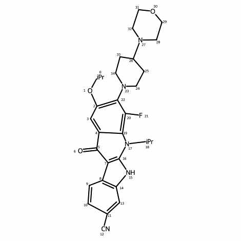 CC(C)Oc1cc2c(=O)c3c4ccc(C#N)cc4[nH]c3n(C(C)C)c2c(F)c1N1CCC(N2CCOCC2)CC1